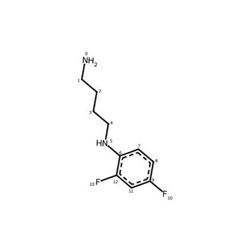 NCCCCNc1ccc(F)cc1F